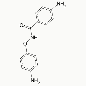 Nc1ccc(ONC(=O)c2ccc(N)cc2)cc1